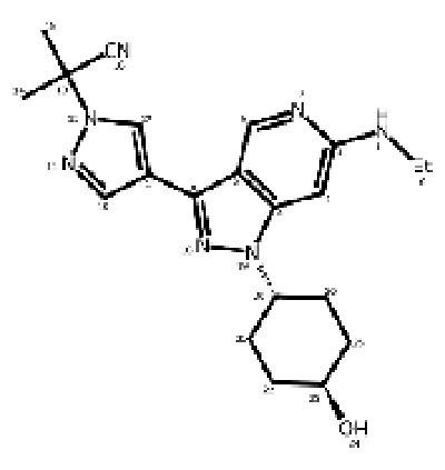 CCNc1cc2c(cn1)c(-c1cnn(C(C)(C)C#N)c1)nn2[C@H]1CC[C@H](O)CC1